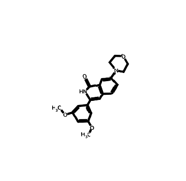 COc1cc(OC)cc(-c2cc3ccc(N4CCOCC4)cc3c(=O)[nH]2)c1